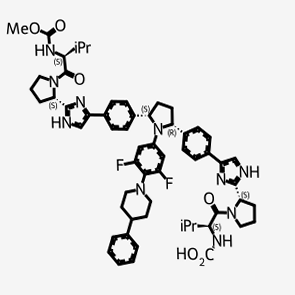 COC(=O)N[C@H](C(=O)N1CCC[C@H]1c1nc(-c2ccc([C@@H]3CC[C@H](c4ccc(-c5c[nH]c([C@@H]6CCCN6C(=O)[C@@H](NC(=O)O)C(C)C)n5)cc4)N3c3cc(F)c(N4CCC(c5ccccc5)CC4)c(F)c3)cc2)c[nH]1)C(C)C